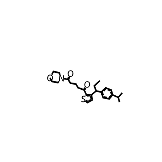 CCC(c1ccc(C(C)C)cc1)c1ccsc1C(=O)CCCC(=O)N1CCOCC1